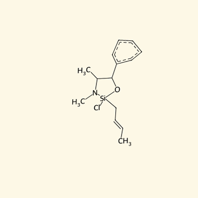 CC=CC[Si]1(Cl)OC(c2ccccc2)C(C)N1C